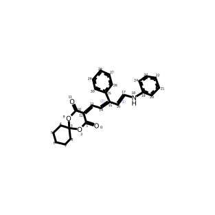 O=C1OC2(CCCCC2)OC(=O)C1=C/C=C(/C=C/Nc1ccccc1)c1ccccc1